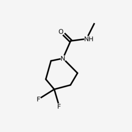 CNC(=O)N1CCC(F)(F)CC1